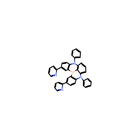 c1ccc(N2c3ccc(-c4ccccn4)cc3B3c4cc(-c5ccccn5)ccc4N(c4ccccc4)c4cccc2c43)cc1